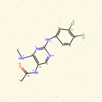 CNc1nc(Nc2ccc(Cl)c(Cl)c2)ncc1NC(C)=O